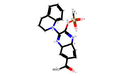 COC(=O)C1=CC2N=C(N3CCCc4ccccc43)C(OS(=O)(=O)C(F)(F)F)=NC2C=C1